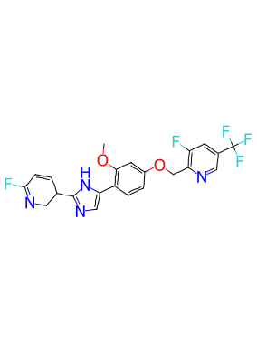 COc1cc(OCc2ncc(C(F)(F)F)cc2F)ccc1-c1cnc(C2C=CC(F)=NC2)[nH]1